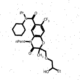 CCCCCN1C(=O)C(C)(COCC(O)CC)Oc2cc(C(F)(F)F)c(C(=O)N(C(C)C)C3CCCCC3)cc21